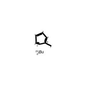 C[CH][C@H](C)c1ccccc1C